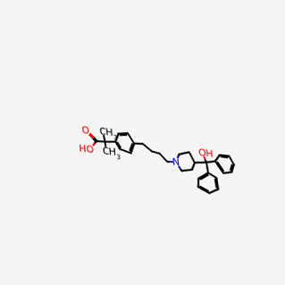 CC(C)(C(=O)O)c1ccc(CCCCN2CCC(C(O)(c3ccccc3)c3ccccc3)CC2)cc1